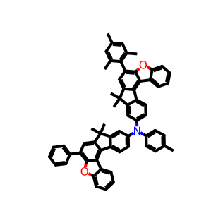 Cc1ccc(N(c2ccc3c(c2)C(C)(C)c2cc(-c4ccccc4)c4oc5ccccc5c4c2-3)c2ccc3c(c2)C(C)(C)c2cc(-c4c(C)cc(C)cc4C)c4oc5ccccc5c4c2-3)cc1